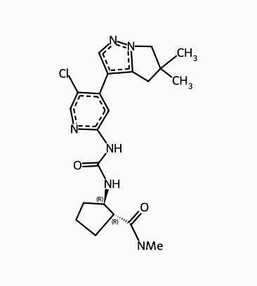 CNC(=O)[C@@H]1CCC[C@H]1NC(=O)Nc1cc(-c2cnn3c2CC(C)(C)C3)c(Cl)cn1